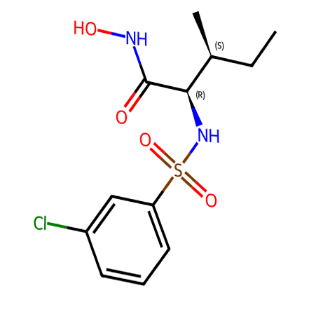 CC[C@H](C)[C@@H](NS(=O)(=O)c1cccc(Cl)c1)C(=O)NO